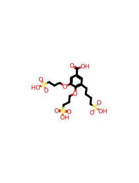 O=C(O)c1cc(CCCCS(=O)(=O)O)c(OCCCS(=O)(=O)O)c(OCCCS(=O)(=O)O)c1